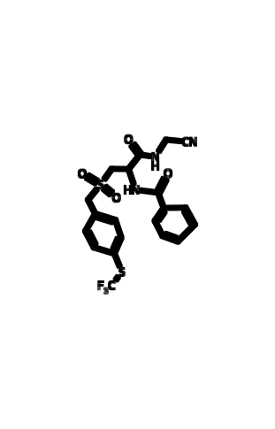 N#CCNC(=O)C(CS(=O)(=O)Cc1ccc(SC(F)(F)F)cc1)NC(=O)c1ccccc1